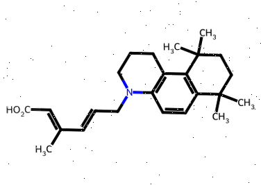 CC(C=CCN1CCCc2c1ccc1c2C(C)(C)CCC1(C)C)=CC(=O)O